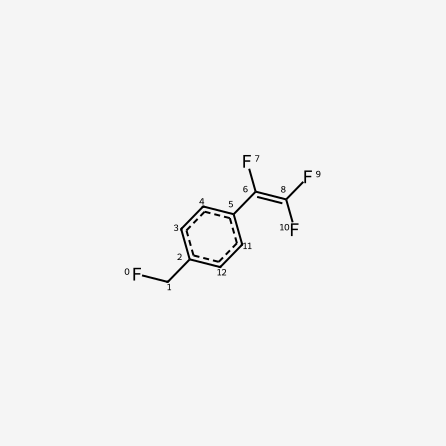 FCc1ccc(C(F)=C(F)F)cc1